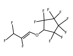 FC(=COC1C(F)(F)C(F)(F)C(F)(F)C1(F)F)C(F)F